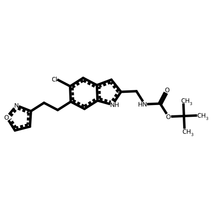 CC(C)(C)OC(=O)NCc1cc2cc(Cl)c(CCc3ccon3)cc2[nH]1